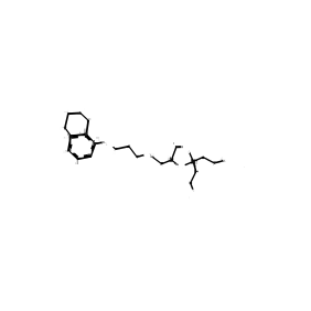 O=C(O)CCC1(CCC(=O)O)OCC(CSCCCOc2cccc3c2CCCC3)S1